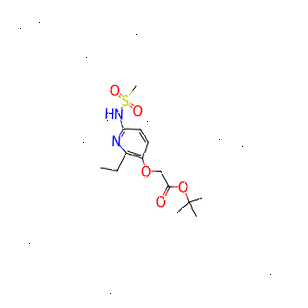 CCc1nc(NS(C)(=O)=O)ccc1OCC(=O)OC(C)(C)C